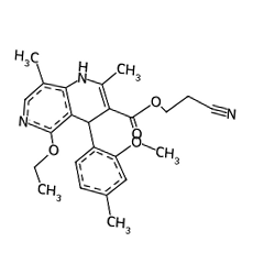 CCOc1ncc(C)c2c1C(c1ccc(C)cc1OC)C(C(=O)OCCC#N)=C(C)N2